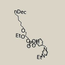 CCCCCCCCCCCCCCCCOCC(COP(=O)(O)Oc1cccc(Cn2cc[n+](CC)c2)c1)OCC